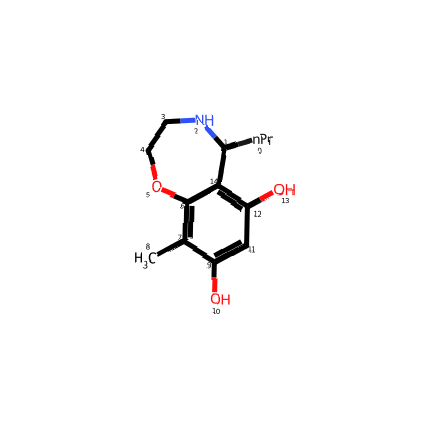 CCCC1NCCOc2c(C)c(O)cc(O)c21